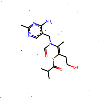 C/C(=C(\CCO)SC(=O)C(C)C)N(C=O)Cc1cnc(C)nc1N